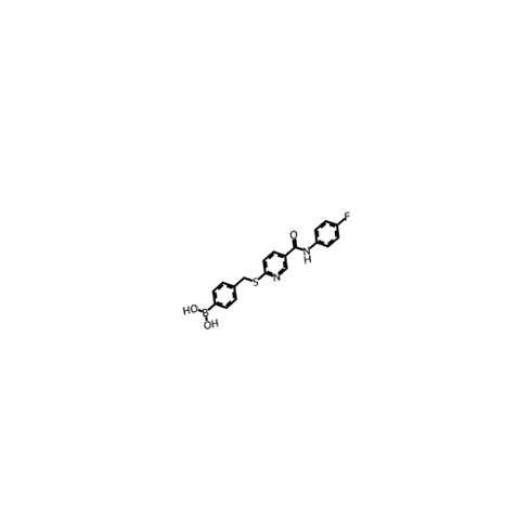 O=C(Nc1ccc(F)cc1)c1ccc(SCc2ccc(B(O)O)cc2)nc1